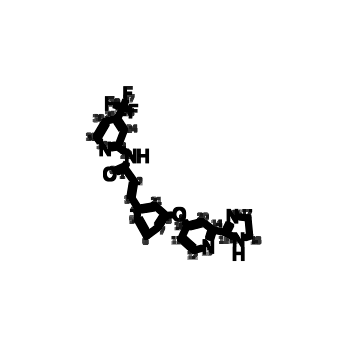 O=C(/C=C/c1cccc(Oc2ccnc(C3=NCCN3)c2)c1)Nc1cc(C(F)(F)F)ccn1